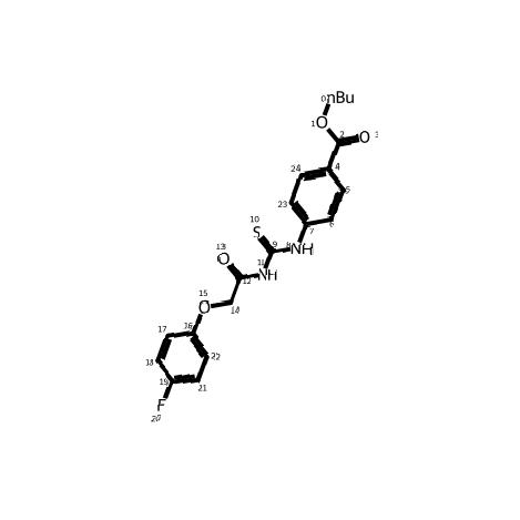 CCCCOC(=O)c1ccc(NC(=S)NC(=O)COc2ccc(F)cc2)cc1